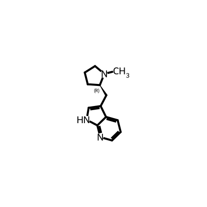 CN1CCC[C@@H]1Cc1c[nH]c2ncccc12